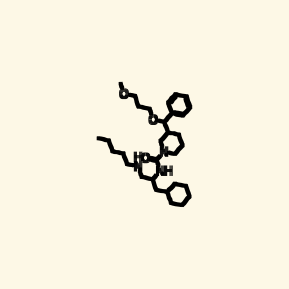 CCCCCNCC(CC1CCCCC1)NC(=O)N1CCCC(C(OCCCOC)c2ccccc2)C1